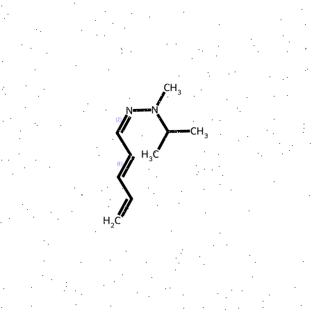 C=C/C=C/C=N\N(C)C(C)C